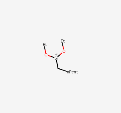 CCCCCC[SiH](OCC)OCC